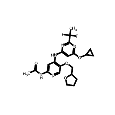 CC(=O)Nc1cc(Nc2cc(OC3CC3)nc(C(C)(F)F)n2)c(OCC2CCCO2)cn1